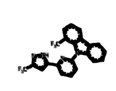 FC(F)(F)c1cc(-c2cccc(-n3c4ccccc4c4cccc(C(F)(F)F)c43)n2)[nH]n1